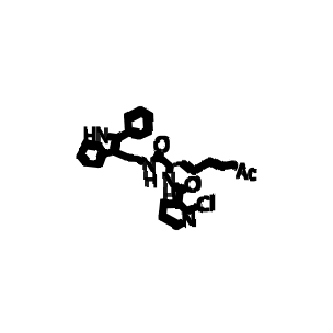 CC(=O)CCCCC[C@H](NC(=O)c1cccnc1Cl)C(=O)NCCc1c(-c2ccccc2)[nH]c2ccccc12